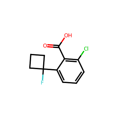 O=C(O)c1c(Cl)cccc1C1(F)CCC1